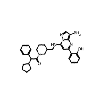 Bc1cnn2c(NCC3CCCN(C(=O)C(c4ccccc4)C4CCCC4)C3)cc(-c3ccccc3O)nc12